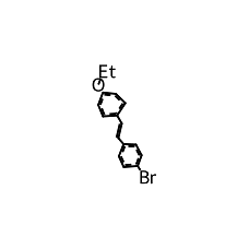 CCOc1ccc(C=Cc2ccc(Br)cc2)cc1